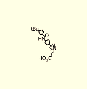 CC(C)(C)c1ccc(C(=O)Nc2ccc(-c3nnc(CCCC(=O)O)s3)cc2)cc1